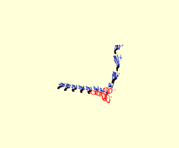 CCC[N+](C)(C)C.CCC[N+](C)(C)C.CCC[N+](C)(C)C.CCC[N+](C)(C)C.CCC[N+](C)(C)C.CCC[N+](C)(C)C.CCC[N+](C)(C)C.CCC[N+](C)(C)C.N#CB([O-])[O-].N#CB([O-])[O-].N#CB([O-])[O-].N#CB([O-])[O-]